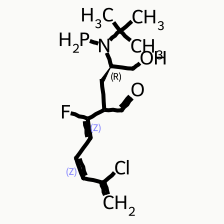 C=C(Cl)/C=C\C=C(/F)C(C=O)C[C@H](CO)N(P)C(C)(C)C